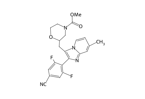 COC(=O)N1CCOC(Cc2c(-c3c(F)cc(C#N)cc3F)nc3cc(C)ccn23)C1